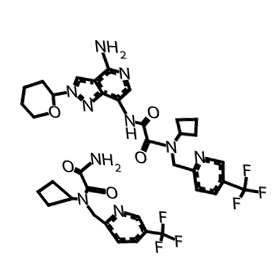 NC(=O)C(=O)N(Cc1ccc(C(F)(F)F)cn1)C1CCC1.Nc1ncc(NC(=O)C(=O)N(Cc2ccc(C(F)(F)F)cn2)C2CCC2)c2nn(C3CCCCO3)cc12